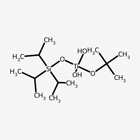 CC(C)[Si]([O][Ti]([OH])([OH])[O]C(C)(C)C)(C(C)C)C(C)C